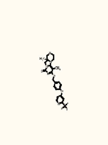 Cc1c(OCc2ccc(Oc3ccnc(C(F)(F)F)c3)cc2)nc(=O)n2c1N1CCOC[C@@]1(C)C2